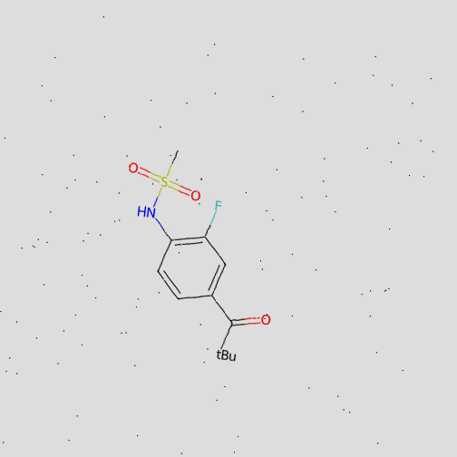 CC(C)(C)C(=O)c1ccc(NS(C)(=O)=O)c(F)c1